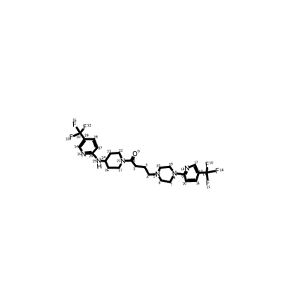 O=C(CCCN1CCN(c2ccc(C(F)(F)F)cn2)CC1)N1CCC(Nc2ccc(C(F)(F)F)cn2)CC1